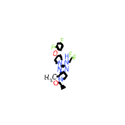 CC1c2nc(N3CCC(Oc4ccc(F)cc4F)CC3)c(NCC(F)F)nc2CCN1C(=O)C1CC1